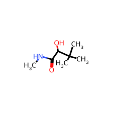 CNC(=O)C(O)C(C)(C)C